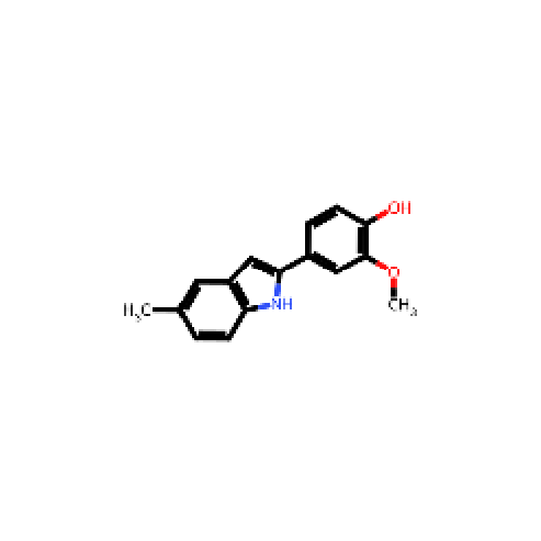 COc1cc(-c2cc3cc(C)ccc3[nH]2)ccc1O